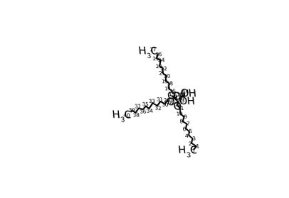 CCCCCCCCCCCCOCC(OCCCCCCCCCCCC)(OCCCCCCCCCCCC)OP(O)O